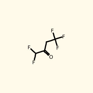 O=C(CC(F)(F)F)C(F)F